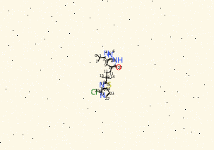 CC(C)c1nn(C)c2c1CC(CCC(C)(C)c1nc3c(Cl)nccc3s1)C(=O)N2